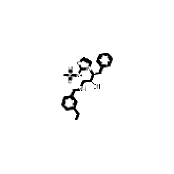 CCc1cccc(CNC[C@@H](O)[C@H](Cc2ccccc2)N2C=COC2NS(C)(=O)=O)c1